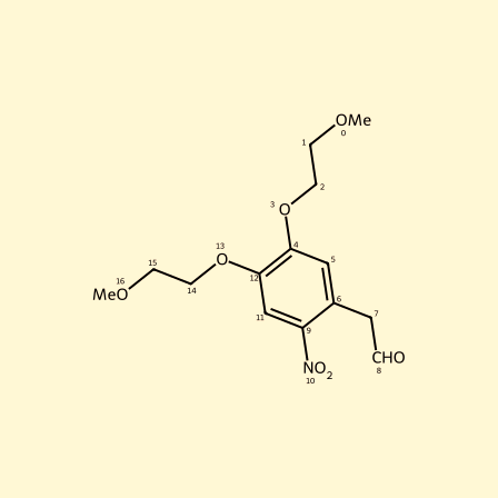 COCCOc1cc(CC=O)c([N+](=O)[O-])cc1OCCOC